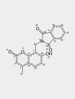 Cc1cc(=O)oc2c(CN3C(=O)c4ccccc4C3=O)c(O)ccc12